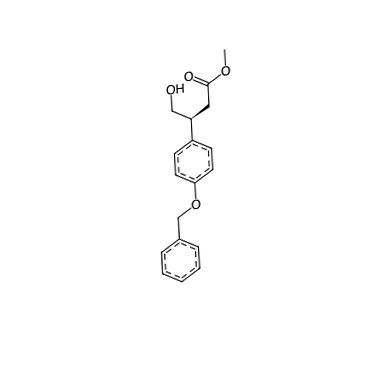 COC(=O)C[C@H](CO)c1ccc(OCc2ccccc2)cc1